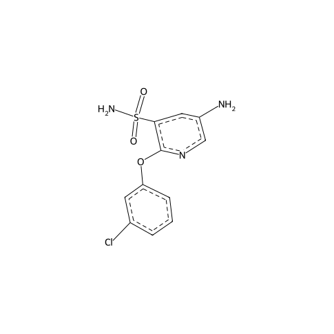 Nc1cnc(Oc2cccc(Cl)c2)c(S(N)(=O)=O)c1